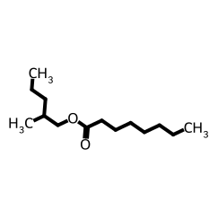 CCCCCCCC(=O)OCC(C)CCC